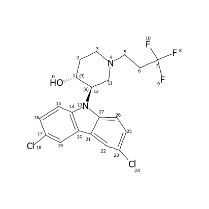 O[C@@H]1CCN(CCC(F)(F)F)C[C@H]1n1c2ccc(Cl)cc2c2cc(Cl)ccc21